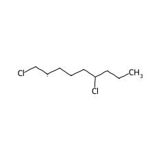 CCCC(Cl)CCC[CH]CCl